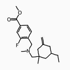 C=C1CC(CC)CC(C)(CN(C)Cc2ccc(C(=O)OC)cc2F)C1